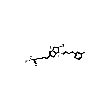 Cc1cccc(CC/C=C/[C@@H]2[C@H]3CC(CCCCC(=O)NC(C)C)=C[C@H]3C[C@H]2O)c1